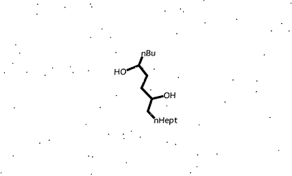 CCCCCCCCC(O)CCC(O)CCCC